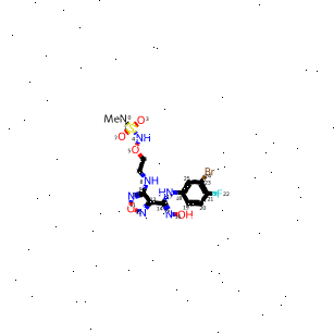 CNS(=O)(=O)NOCCNc1nonc1/C(=N/O)Nc1ccc(F)c(Br)c1